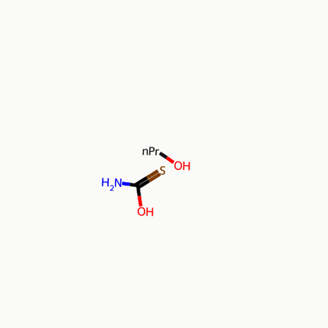 CCCO.NC(O)=S